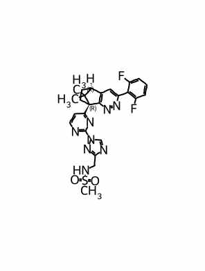 CC1(C)[C@H]2CC[C@@]1(c1ccnc(-n3cnc(CNS(C)(=O)=O)n3)n1)c1nnc(-c3c(F)cccc3F)cc12